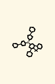 CC1(C)c2ccccc2-c2cc(N(c3ccc(-c4ccccc4)cc3)c3ccc(-c4ccccc4)cc3)cc(-c3ccccc3)c21